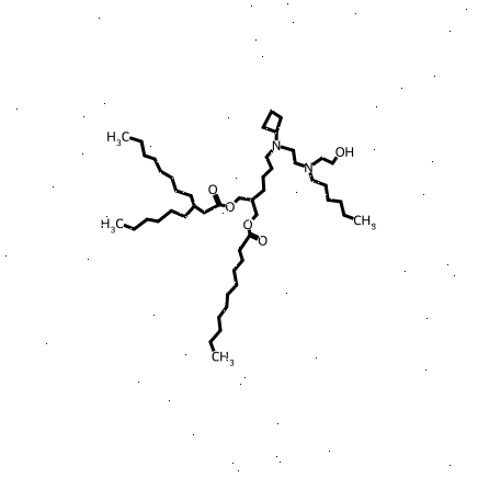 CCCCCCCCCCC(=O)OCC(CCCCN(CCN(CCO)CCCCCC)C1CCC1)COC(=O)CC(CCCCCC)CCCCCCCC